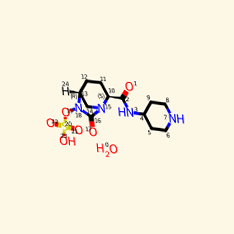 O.O=C(NC1CCNCC1)[C@@H]1CC[C@@H]2CN1C(=O)N2OS(=O)(=O)O